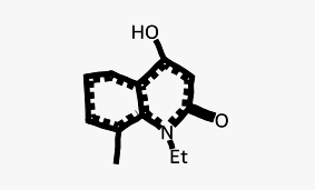 CCn1c(=O)cc(O)c2cccc(C)c21